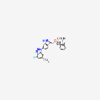 Cc1cc(F)c2nnn(-c3ccc4c(COC(Cc5ccccc5)(C(=O)O)C(=O)O)n[nH]c4c3)c2c1